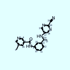 Cc1cncc(C(=O)Nc2cccc([C@H](C)Nc3cnc(C#N)nc3)c2)c1